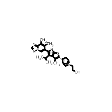 Cc1c(-c2[nH]c3sc([C@@H]4CC5CC4CN5CCO)c(C)c3c2C(C)C)cn2ncnc2c1C